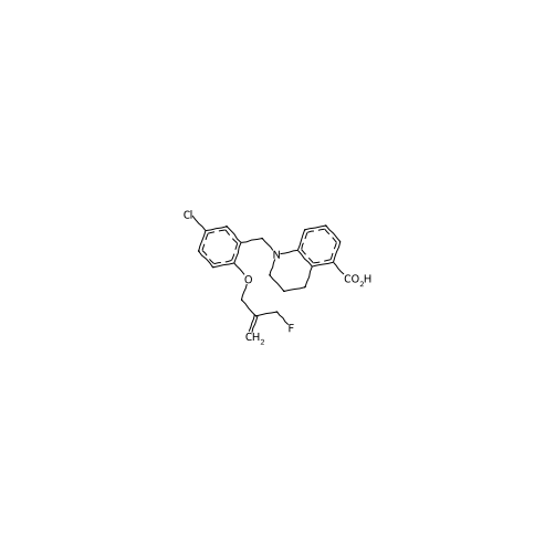 C=C(CF)COc1ccc(Cl)cc1CN1CCCc2c(C(=O)O)cccc21